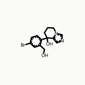 OCc1cc(Br)ccc1C1(O)CCCn2cncc21